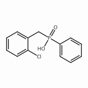 O=P(O)(Cc1ccccc1Cl)c1ccccc1